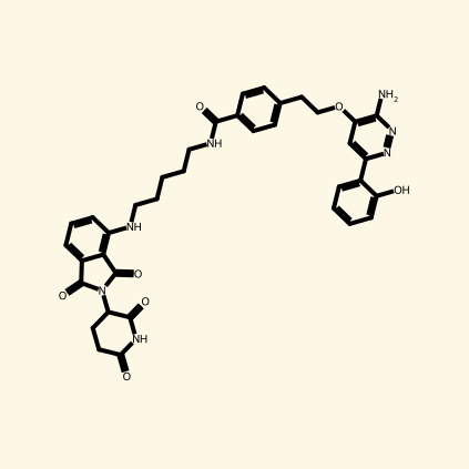 Nc1nnc(-c2ccccc2O)cc1OCCc1ccc(C(=O)NCCCCCNc2cccc3c2C(=O)N(C2CCC(=O)NC2=O)C3=O)cc1